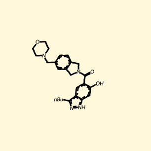 CCCCc1n[nH]c2cc(O)c(C(=O)N3Cc4ccc(CN5CCOCC5)cc4C3)cc12